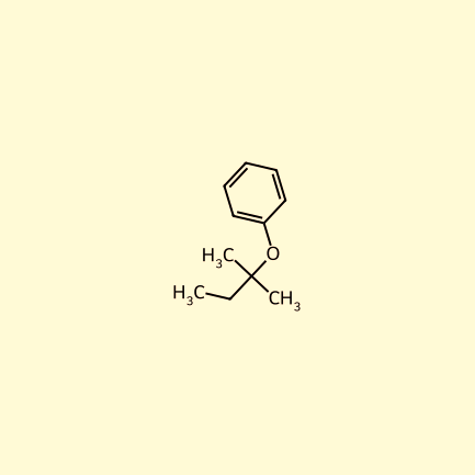 CCC(C)(C)Oc1ccccc1